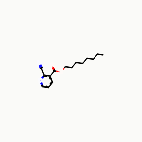 CCCCCCCCOC(=O)c1cccnc1C#N